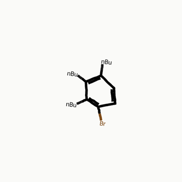 CCCCc1ccc(Br)c(CCCC)c1CCCC